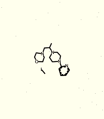 CC(CN1CCOCC1)N1CCN(c2ccccn2)CC1.CI